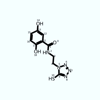 O=C(NCCn1nnnc1S)c1cc(O)ccc1O